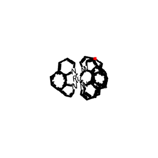 C1=C[N]2c3c4c(ccc3=C1)=CC=C[N]4[Ru]213([N]2C=CC=c4ccc5c(c42)[N]1C=CC=5)[N]1C=CC=c2ccc4c(c21)[N]3C=CC=4